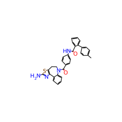 Cc1ccc(-c2ccccc2C(=O)Nc2ccc(C(=O)N3CCc4sc(N)nc4-c4ccccc43)cc2)cc1